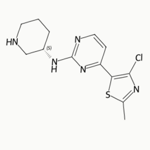 Cc1nc(Cl)c(-c2ccnc(N[C@H]3CCCNC3)n2)s1